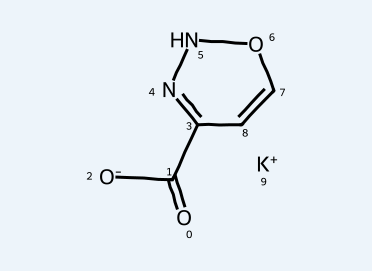 O=C([O-])C1=NNOC=C1.[K+]